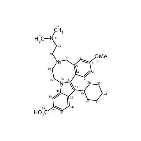 COc1ccc2c(c1)CN(CCN(C)C)CCn1c-2c(C2CCCCC2)c2ccc(C(=O)O)cc21